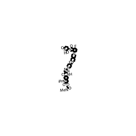 CNC(=O)COc1cc2cc(Nc3nc(N4CCC(F)(CN5CCC6(CC5)CCN(c5ccc(F)c7c5CN(C5CCC(=O)NC5=O)C7=O)CC6)CC4)ncc3Cl)ccc2n(C(C)C)c1=O